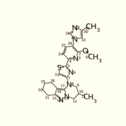 COc1nc(-c2nc(N3CC(C)Cn4nc5c(c43)CCCC5)cs2)ccc1-n1cnc(C)c1